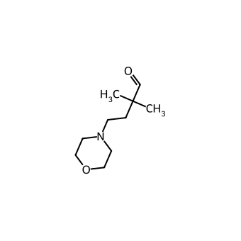 CC(C)(C=O)CCN1CCOCC1